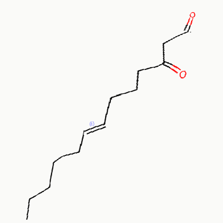 CCCCC/C=C/CCCC(=O)C[C]=O